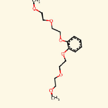 COCCOCCOc1ccccc1OCCOCCOC